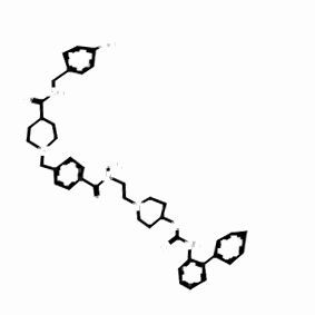 CN(CCN1CCC(OC(=O)Nc2ccccc2-c2ccccc2)CC1)C(=O)c1ccc(CN2CCC(C(=O)NCc3ccc(O)cc3)CC2)cc1